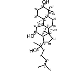 CC(C)=CCCC(C)(O)C1CC[C@]2(C)C1[C@H](O)CC1[C@@]3(C)CCC(O)C(C)(C)C3CC[C@]12C